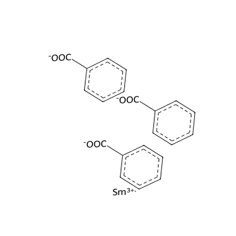 O=C([O-])c1ccccc1.O=C([O-])c1ccccc1.O=C([O-])c1ccccc1.[Sm+3]